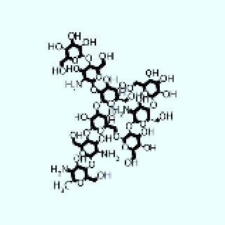 C[C@@H]1OC(CO)[C@@H](O[C@@H]2OC(CO)[C@@H](O[C@@H]3OC(CO[C@H]4OC(CO)[C@@H](O)C(O)[C@H]4O[C@@H]4O[C@@H](CO)[C@@H](O[C@@H]5OC(CO)[C@H](O)C(O)[C@@H]5O)C(O)C4N)[C@@H](O)C(O[C@H]4O[C@H](CO)[C@@H](O)C(O)C4O[C@@H]4OC(CO)[C@@H](O[C@@H]5OC(CO)[C@H](O)C(O)[C@@H]5O)C(O)[C@@H]4N)[C@H]3O)C(O)[C@@H]2N)[C@H](O)C1N